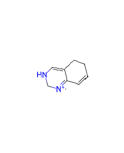 C1=CC2=[N+]CNC=C2CC1